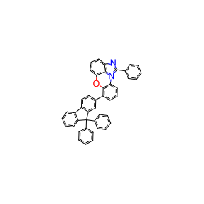 c1ccc(-c2nc3cccc4c3n2-c2cccc(-c3ccc5c(c3)C(c3ccccc3)(c3ccccc3)c3ccccc3-5)c2O4)cc1